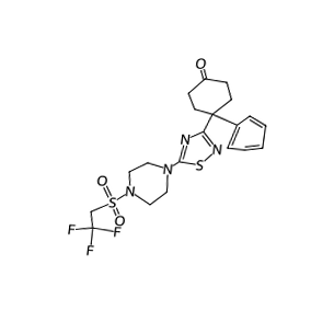 O=C1CCC(c2ccccc2)(c2nsc(N3CCN(S(=O)(=O)CC(F)(F)F)CC3)n2)CC1